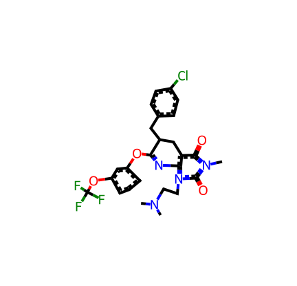 CN(C)CCn1c2c(c(=O)n(C)c1=O)CC(Cc1ccc(Cl)cc1)C(Oc1cccc(OC(F)(F)F)c1)=N2